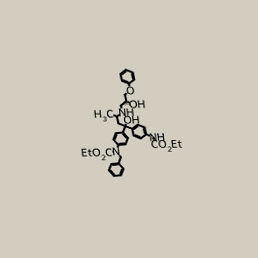 CCOC(=O)Nc1ccc(C(O)(CC(C)NC[C@H](O)COc2ccccc2)c2ccc(N(Cc3ccccc3)C(=O)OCC)cc2)cc1